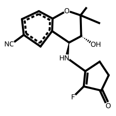 CC1(C)Oc2ccc(C#N)cc2[C@H](NC2=C(F)C(=O)CC2)[C@H]1O